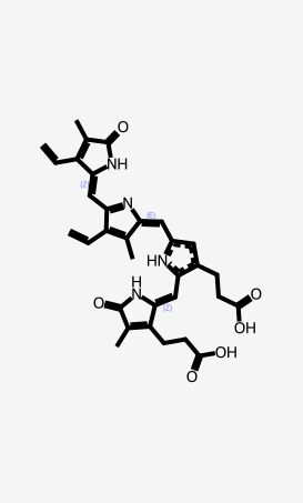 C=CC1=C(C)/C(=C\c2cc(CCC(=O)O)c(/C=C3\NC(=O)C(C)=C3CCC(=O)O)[nH]2)N=C1/C=C1\NC(=O)C(C)=C1C=C